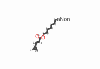 CCCCCCCCCCCCCCCCOC(=O)/C=C/C1CC1